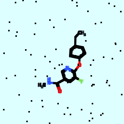 CCc1ccc(Oc2ncc(C(=O)NC)cc2F)cc1